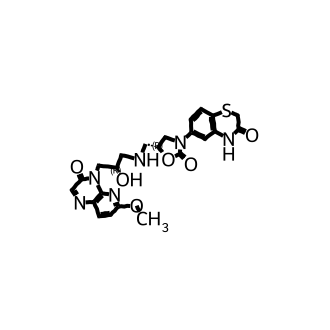 COc1ccc2ncc(=O)n(C[C@H](O)CNC[C@@H]3CN(c4ccc5c(c4)NC(=O)CS5)C(=O)O3)c2n1